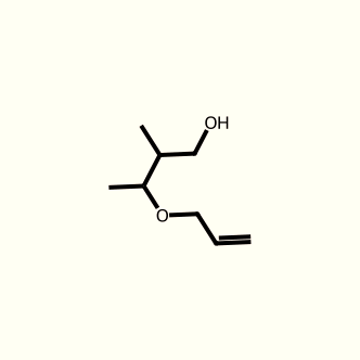 C=CCOC(C)C(C)CO